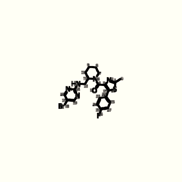 Cc1nc(C(=O)N2CCCCC2CNc2ncc(Br)cn2)c(-c2ccc(F)cc2)s1